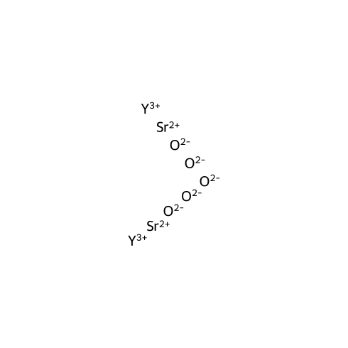 [O-2].[O-2].[O-2].[O-2].[O-2].[Sr+2].[Sr+2].[Y+3].[Y+3]